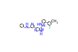 Cc1cc(F)cc(-c2cccc3[nH]c(-c4n[nH]c5cnc(-c6cncc(CNCc7ccccc7)c6)cc45)nc23)c1